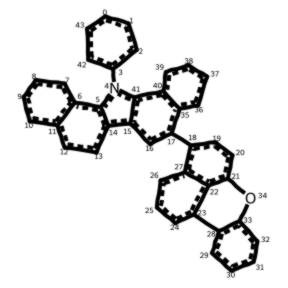 c1ccc(-n2c3c4ccccc4ccc3c3cc(-c4ccc5c6c(cccc46)-c4ccccc4O5)c4ccccc4c32)cc1